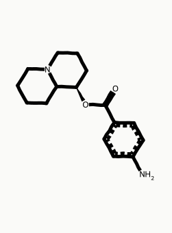 Nc1ccc(C(=O)O[C@@H]2CCCN3CCCCC23)cc1